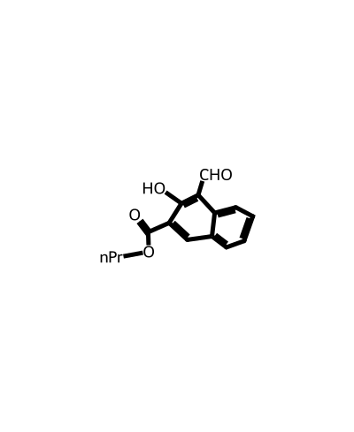 CCCOC(=O)c1cc2ccccc2c(C=O)c1O